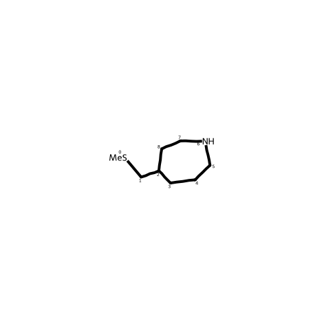 CSCC1CCCNCC1